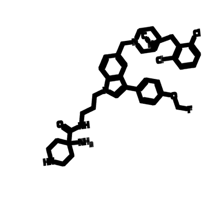 NC1(C(=O)NCCCn2cc(-c3ccc(OCF)cc3)c3cc(CN4CC5CCC4CN5Cc4c(Cl)cccc4Cl)ccc32)CCNCC1